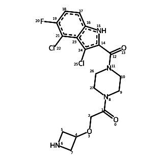 O=C(COC1CNC1)N1CCN(C(=O)c2[nH]c3ccc(F)c(Cl)c3c2Cl)CC1